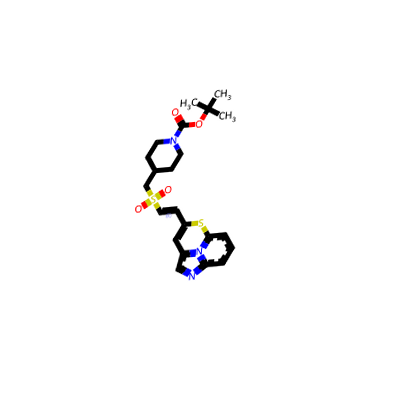 CC(C)(C)OC(=O)N1CCC(CS(=O)(=O)/C=C/C2=Cc3cnc4cccc(n34)S2)CC1